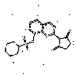 O=C1CCC(=O)C1c1ccc2cccc(OS(=O)(=O)C3CCCCC3)c2n1